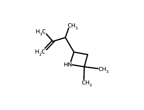 C=C(C)C(C)C1CC(C)(C)N1